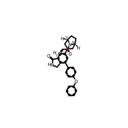 C=CC(=O)N1[C@@H]2CC[C@H]1CC(c1cc3c(c(-c4ccc(Oc5ccccc5)cc4)c1)CNC3=O)C2